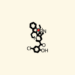 CCOC(=O)C12C(C#N)=CC(C(=O)c3cc(Cl)ccc3O)=CN1CCc1c2[nH]c2ccccc12